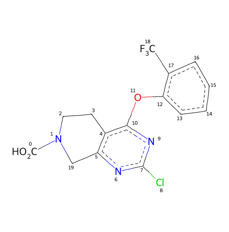 O=C(O)N1CCc2c(nc(Cl)nc2Oc2ccccc2C(F)(F)F)C1